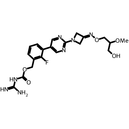 COC(CO)CON=C1CN(c2ncc(-c3cccc(COC(=O)NC(=N)N)c3F)cn2)C1